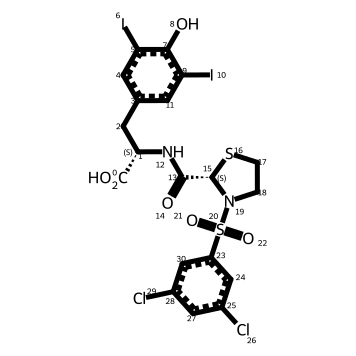 O=C(O)[C@H](Cc1cc(I)c(O)c(I)c1)NC(=O)[C@@H]1SCCN1S(=O)(=O)c1cc(Cl)cc(Cl)c1